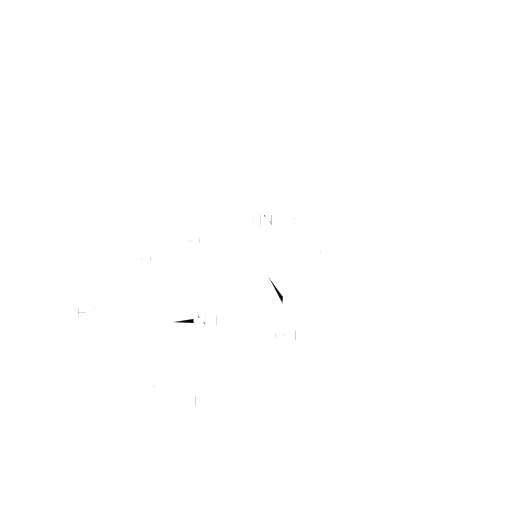 C[C@@H](O)[C@H](NC(=O)[C@H](CO)N[Si](c1ccccc1)(c1ccccc1)C(C)(C)C)C(=O)O